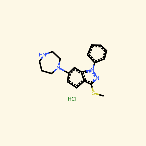 CSc1nn(-c2ccccc2)c2cc(N3CCCNCC3)ccc12.Cl